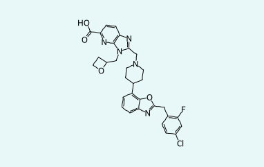 O=C(O)c1ccc2nc(CN3CCC(c4cccc5nc(Cc6ccc(Cl)cc6F)oc45)CC3)n(CC3CCO3)c2n1